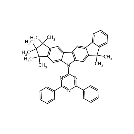 CC1(C)c2ccccc2-c2cc3c4cc5c(cc4n(-c4nc(-c6ccccc6)nc(-c6ccccc6)n4)c3cc21)C(C)(C)C(C)(C)C5(C)C